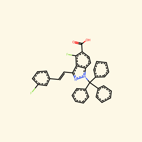 O=C(O)c1ccc2c(c(C=Cc3cccc(F)c3)nn2C(c2ccccc2)(c2ccccc2)c2ccccc2)c1F